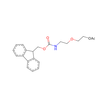 CC(=O)OCCOCCNC(=O)OCC1c2ccccc2-c2ccccc21